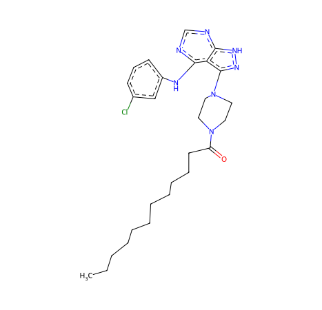 CCCCCCCCCCCC(=O)N1CCN(c2n[nH]c3ncnc(Nc4cccc(Cl)c4)c23)CC1